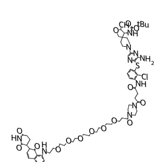 C[C@@H]1OCC2(CCN(c3cnc(Sc4cccc(NC(=O)CCC(=O)N5CCN(C(=O)CCOCCOCCOCCOCCOCCOCCNc6cccc7c6C(=O)C(C6CCC(=O)NC6=O)C=C7)CC5)c4Cl)c(N)n3)CC2)[C@@H]1NC(=O)OC(C)(C)C